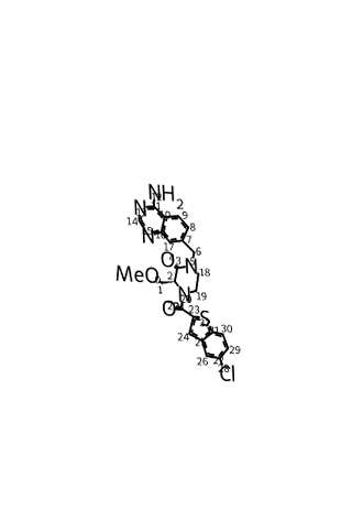 COC[C@H]1C(=O)N(Cc2ccc3c(N)ncnc3c2)CCN1C(=O)c1cc2cc(Cl)ccc2s1